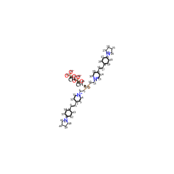 C(=Cc1cc[n+](CCSSCC[n+]2ccc(C=Cc3ccc(N4CCCC4)cc3)cc2)cc1)c1ccc(N2CCCC2)cc1.CS(=O)(=O)[O-].CS(=O)(=O)[O-]